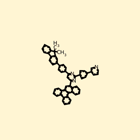 CC1(C)c2ccccc2-c2ccc(-c3ccc(-c4cc(-c5cc6c7ccccc7c7ccccc7c6c6ccccc56)nc(-c5ccc(-c6cccnc6)cc5)n4)cc3)cc21